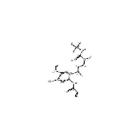 C=CC(=O)Nc1nc(N)c(OC)cc1N(C)CCN(C)C(=O)OC(C)(C)C